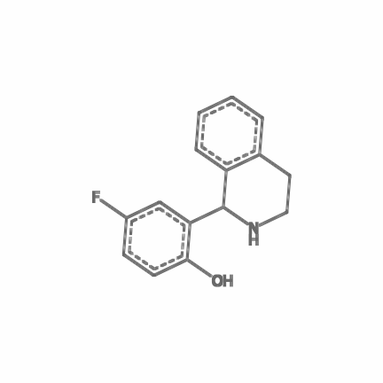 Oc1ccc(F)cc1C1NCCc2ccccc21